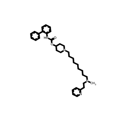 CN(CCCCCCCCCN1CCC(OC(=O)Nc2ccccc2-c2ccccc2)CC1)CCc1ccccn1